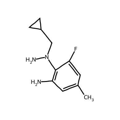 Cc1cc(N)c(N(N)CC2CC2)c(F)c1